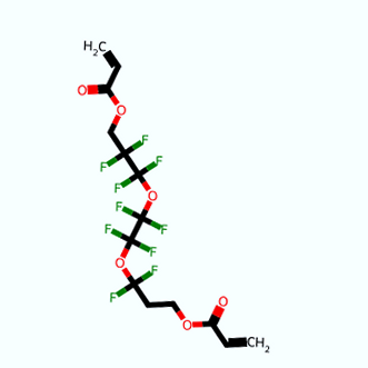 C=CC(=O)OCCC(F)(F)OC(F)(F)C(F)(F)OC(F)(F)C(F)(F)COC(=O)C=C